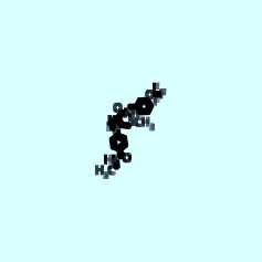 CCNC(=O)c1ccc(-n2nnc(C(=O)NCc3cccc(OC(F)(F)F)c3)c2CSC)cc1